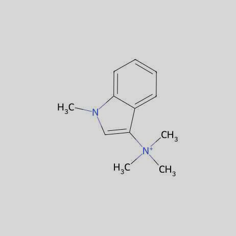 Cn1cc([N+](C)(C)C)c2ccccc21